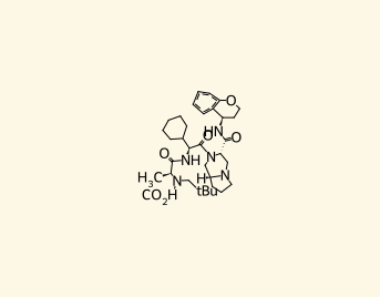 C[C@@H](C(=O)N[C@H](C(=O)N1C[C@H]2CCCN2C[C@H]1C(=O)N[C@@H]1CCOc2ccccc21)C1CCCCC1)N(CC(C)(C)C)C(=O)O